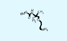 CC(C)(COCCN)NC(=O)OC(C)(C)C